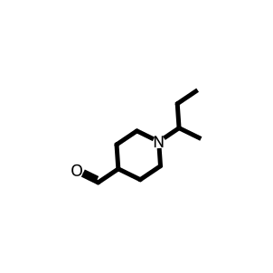 CCC(C)N1CCC(C=O)CC1